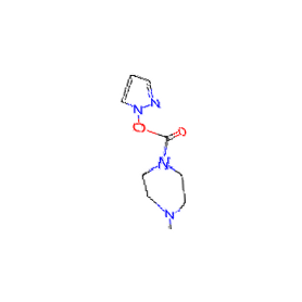 CN1CCN(C(=O)On2cccn2)CC1